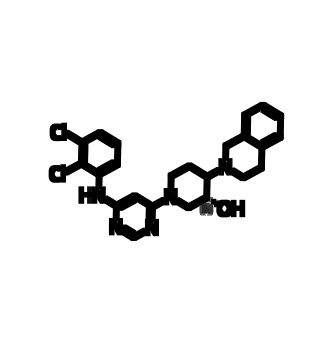 O[C@@H]1CN(c2cc(Nc3cccc(Cl)c3Cl)ncn2)CCC1N1CCc2ccccc2C1